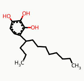 CCCCCCCCC(CCC)c1ccc(O)c(O)c1O